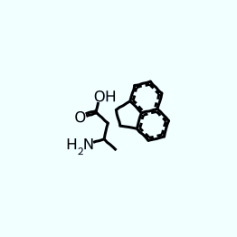 CC(N)CC(=O)O.c1cc2c3c(cccc3c1)CC2